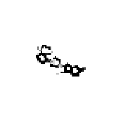 O[C@@H]1c2ccc(F)cc2C[C@H]1N1CCN(c2cccc3c2OCCO3)CC1